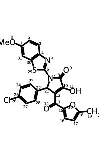 COc1ccc2nc(N3C(=O)C(O)=C(C(=O)c4ccc(C)o4)C3c3ccc(Cl)cc3)sc2c1